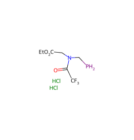 CCOC(=O)CN(CP)C(=O)C(F)(F)F.Cl.Cl